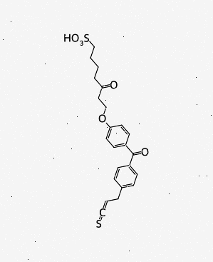 O=C(CCCCS(=O)(=O)O)CCOc1ccc(C(=O)c2ccc(CC=C=S)cc2)cc1